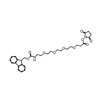 O=C(CCOCCOCCOCCOCCNC(=O)OCC1c2ccccc2-c2ccccc21)ON1C(=O)CCC1=O